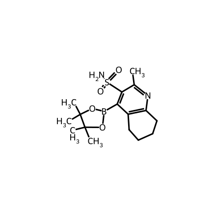 Cc1nc2c(c(B3OC(C)(C)C(C)(C)O3)c1S(N)(=O)=O)CCCC2